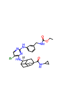 CCOC(=O)NCc1cccc(Nc2ncc(Br)c(N[C@H]3C4CC5CC3C[C@@](C(=O)NC3CC3)(C5)C4)n2)c1